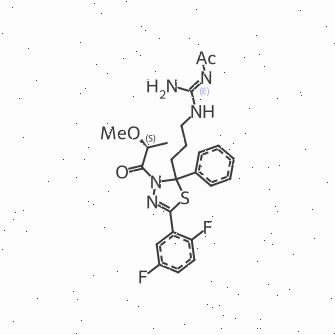 CO[C@@H](C)C(=O)N1N=C(c2cc(F)ccc2F)SC1(CCCN/C(N)=N/C(C)=O)c1ccccc1